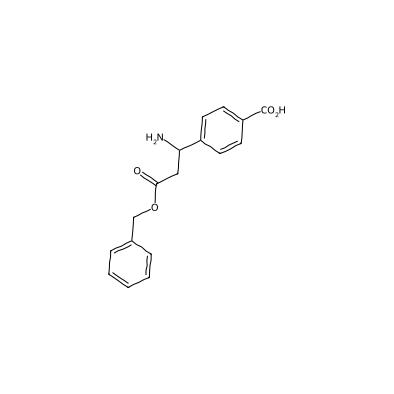 NC(CC(=O)OCc1ccccc1)c1ccc(C(=O)O)cc1